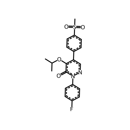 CC(C)Oc1c(-c2ccc(S(C)(=O)=O)cc2)cnn(-c2ccc(F)cc2)c1=O